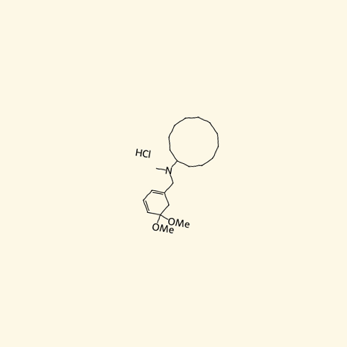 COC1(OC)C=CC=C(CN(C)C2CCCCCCCCCCC2)C1.Cl